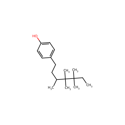 CCC(C)(C)C(C)(C)C(C)CCc1ccc(O)cc1